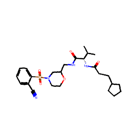 CC(C)[C@H](NC(=O)CCC1CCCC1)C(=O)NCC1CN(S(=O)(=O)c2ccccc2C#N)CCO1